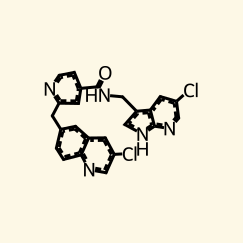 O=C(NCc1c[nH]c2ncc(Cl)cc12)c1ccnc(Cc2ccc3ncc(Cl)cc3c2)c1